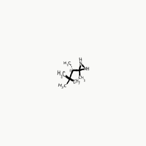 C[C@@H](C(C)(C)C)C1(C)NN1